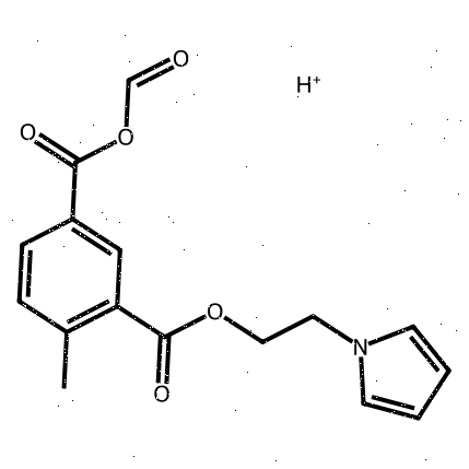 Cc1ccc(C(=O)OC=O)cc1C(=O)OCCn1cccc1.[H+]